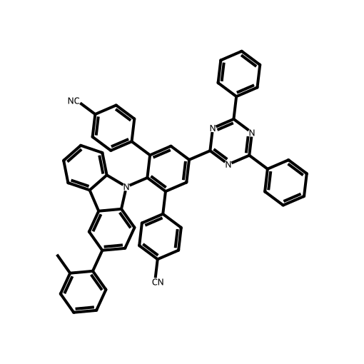 Cc1ccccc1-c1ccc2c(c1)c1ccccc1n2-c1c(-c2ccc(C#N)cc2)cc(-c2nc(-c3ccccc3)nc(-c3ccccc3)n2)cc1-c1ccc(C#N)cc1